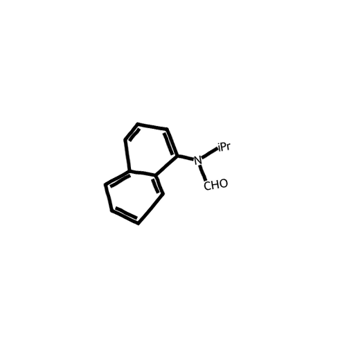 CC(C)N(C=O)c1cccc2ccccc12